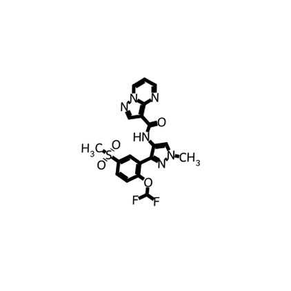 Cn1cc(NC(=O)c2cnn3cccnc23)c(-c2cc(S(C)(=O)=O)ccc2OC(F)F)n1